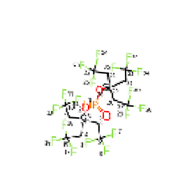 O=[PH](O[Si](CC(F)(F)F)(CC(F)(F)F)CC(F)(F)F)O[Si](CC(F)(F)F)(CC(F)(F)F)CC(F)(F)F